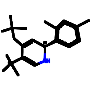 Cc1ccc([C@@H]2C=C(CC(C)(C)C)C([Si](C)(C)C)=CN2)c(C)c1